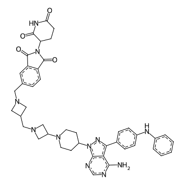 Nc1ncnc2c1c(-c1ccc(Nc3ccccc3)cc1)nn2C1CCN(C2CN(CC3CN(Cc4ccc5c(c4)C(=O)N(C4CCC(=O)NC4=O)C5=O)C3)C2)CC1